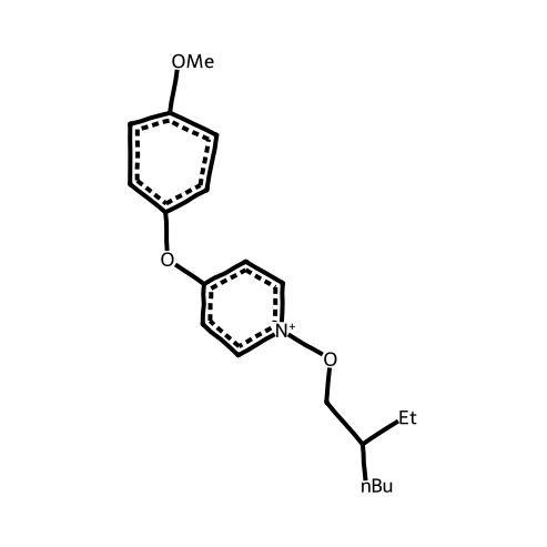 CCCCC(CC)CO[n+]1ccc(Oc2ccc(OC)cc2)cc1